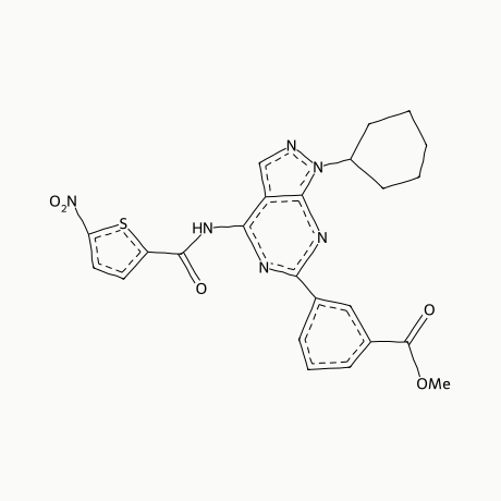 COC(=O)c1cccc(-c2nc(NC(=O)c3ccc([N+](=O)[O-])s3)c3cnn(C4CCCCC4)c3n2)c1